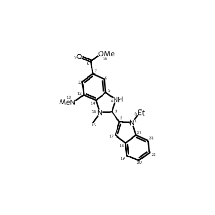 CCn1c(C2Nc3cc(C(=O)OC)cc(NC)c3N2C)cc2ccccc21